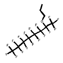 CCCOC(F)(C(F)(F)F)C(F)(F)C(F)(F)C(F)(F)C(F)(F)C(F)(F)C(F)(F)F